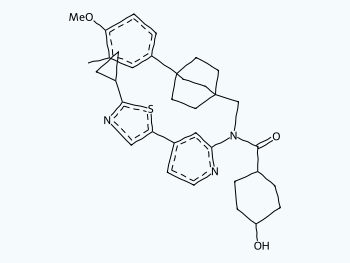 COc1ccc(C23CCC(CN(C(=O)C4CCC(O)CC4)c4cc(-c5cnc(C6CC6)s5)ccn4)(CC2)CC3)cc1C